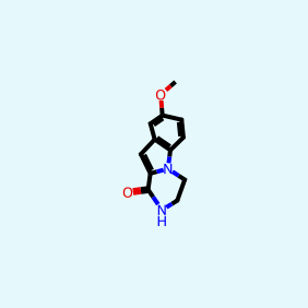 COc1ccc2c(c1)cc1n2CCNC1=O